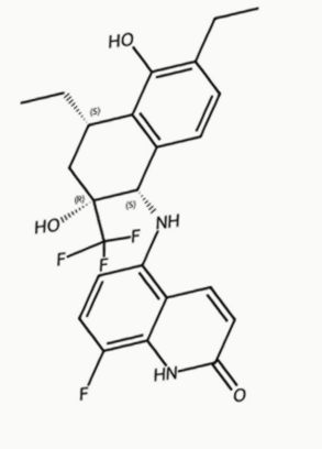 CCc1ccc2c(c1O)[C@@H](CC)C[C@](O)(C(F)(F)F)[C@H]2Nc1ccc(F)c2[nH]c(=O)ccc12